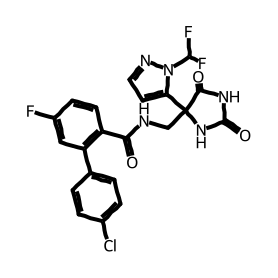 O=C1NC(=O)C(CNC(=O)c2ccc(F)cc2-c2ccc(Cl)cc2)(c2ccnn2C(F)F)N1